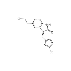 CCc1ccc(C=C2C(=O)Nc3ccc(CCCl)cc32)s1